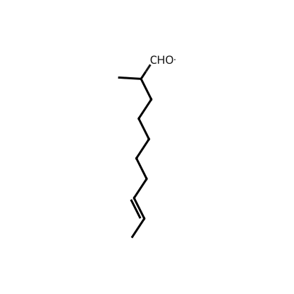 CC=CCCCCCC(C)[C]=O